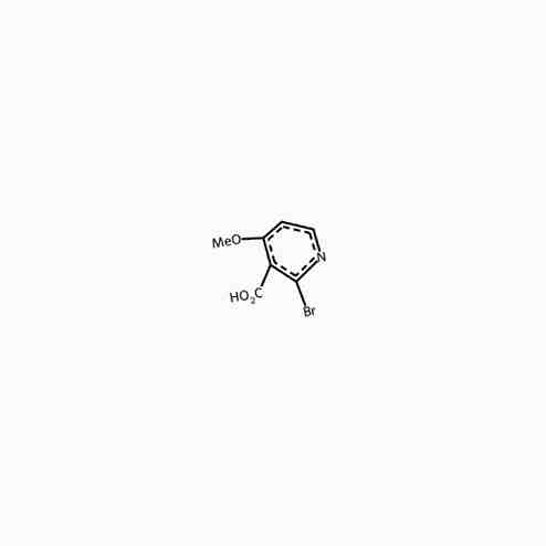 COc1ccnc(Br)c1C(=O)O